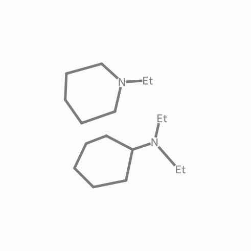 CCN(CC)C1CCCCC1.CCN1CCCCC1